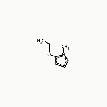 CCOc1c[c]nn1C